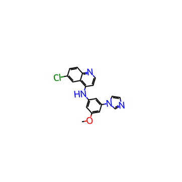 COc1cc(Nc2ccnc3ccc(Cl)cc23)cc(-n2ccnc2)c1